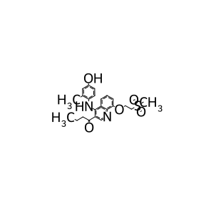 CCCC(=O)c1cnc2c(OCCS(C)(=O)=O)cccc2c1Nc1ccc(O)cc1C